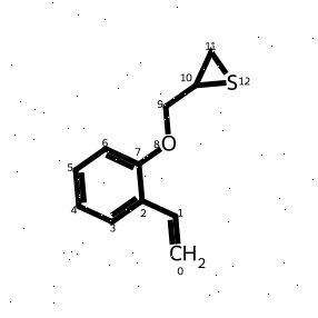 C=Cc1ccccc1OCC1CS1